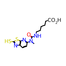 CN(C(=O)NCCCCCC(=O)O)c1ccc2nc(S)sc2n1